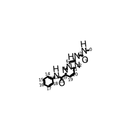 CNC(=O)Nc1cn2nc(C(=O)Nc3ccccc3)ccc2n1